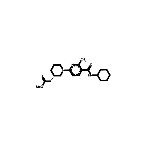 COC(=O)C[C@@H]1CCCN(c2ccc(C(=O)NC3CCCCC3)c(C)n2)C1